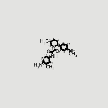 CNc1ccc([C@@H]2CC[C@@H](C)CN2C(=O)C(=O)Nc2cnc(N)c(C)c2)cc1